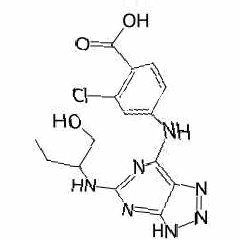 CCC(CO)Nc1nc(Nc2ccc(C(=O)O)c(Cl)c2)c2nn[nH]c2n1